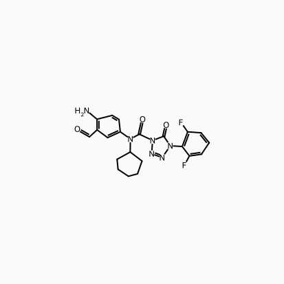 Nc1ccc(N(C(=O)n2nnn(-c3c(F)cccc3F)c2=O)C2CCCCC2)cc1C=O